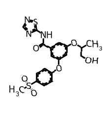 CC(CO)Oc1cc(Oc2ccc(S(C)(=O)=O)cc2)cc(C(=O)Nc2ncns2)c1